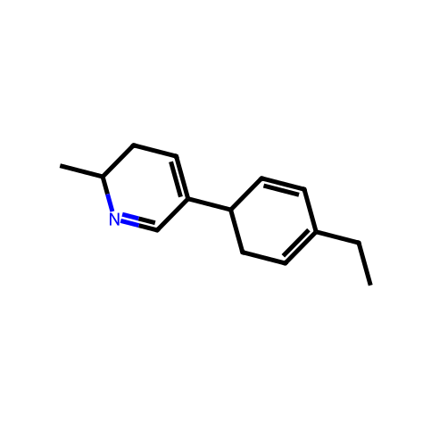 CCC1=CCC(C2=CCC(C)N=C2)C=C1